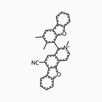 Cc1cc2c(oc3ccccc32)c(-c2c3cc(C#N)c4c5ccccc5oc4c3cc[n+]2C)c1C